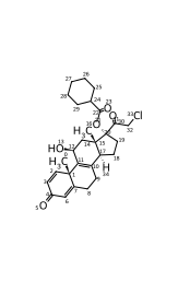 C[C@]12C=CC(=O)C=C1CCC1=C2[C@@H](O)C[C@@]2(C)[C@H]1CC[C@]2(OC(=O)C1CCCCC1)C(=O)CCl